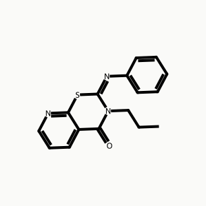 CCCn1c(=Nc2ccccc2)sc2ncccc2c1=O